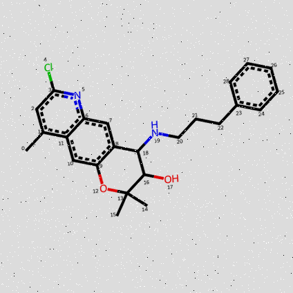 Cc1cc(Cl)nc2cc3c(cc12)OC(C)(C)C(O)C3NCCCc1ccccc1